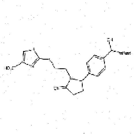 CCCCCC(O)c1ccc(C2CCC(=O)N2CCSc2nc(C(=O)O)cs2)cc1